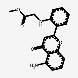 COC(=O)CNc1ccccc1-c1cc(=O)c2c(N)cccc2o1